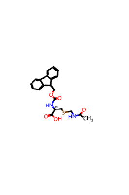 CC(=O)NCSC[C@H](NC(=O)OCC1c2ccccc2-c2ccccc21)C(=O)O